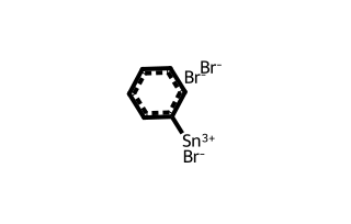 [Br-].[Br-].[Br-].[Sn+3][c]1ccccc1